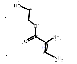 N/C=C(\N)C(=O)OCCO